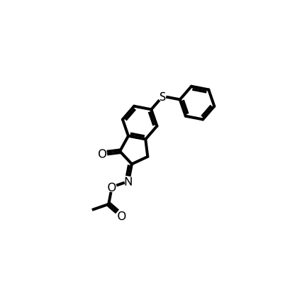 CC(=O)ON=C1Cc2cc(Sc3ccccc3)ccc2C1=O